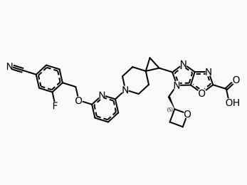 N#Cc1ccc(COc2cccc(N3CCC4(CC3)CC4c3nc4nc(C(=O)O)oc4n3C[C@@H]3CCO3)n2)c(F)c1